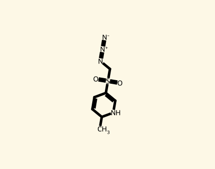 CC1C=CC(S(=O)(=O)CN=[N+]=[N-])=CN1